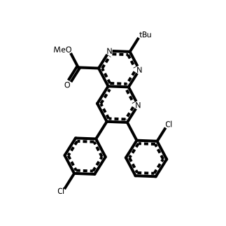 COC(=O)c1nc(C(C)(C)C)nc2nc(-c3ccccc3Cl)c(-c3ccc(Cl)cc3)cc12